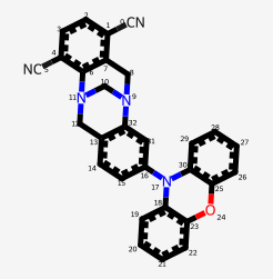 N#Cc1ccc(C#N)c2c1CN1CN2Cc2ccc(N3c4ccccc4Oc4ccccc43)cc21